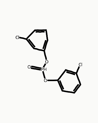 O=[PH](Oc1cccc(Cl)c1)Oc1cccc(Cl)c1